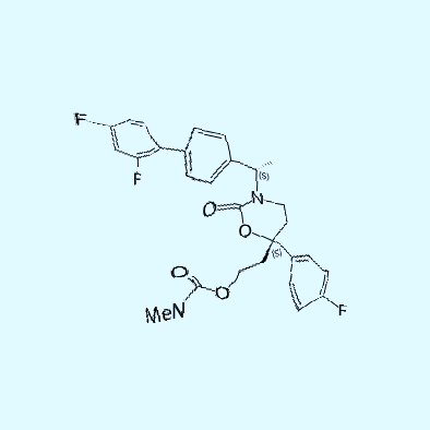 CNC(=O)OCC[C@]1(c2ccc(F)cc2)CCN([C@@H](C)c2ccc(-c3ccc(F)cc3F)cc2)C(=O)O1